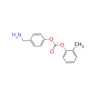 Cc1ccccc1OC(=O)Oc1ccc(CN)cc1